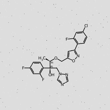 C[C@@H](OCc1cc(-c2ccc(Cl)cc2F)no1)[C@](O)(Cn1cncn1)c1ccc(F)cc1F